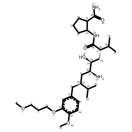 COCCCOc1cc(C[C@@H](C[C@H](N)[C@@H](O)C[C@H](C(=O)NC2CCCC2C(N)=O)C(C)C)C(C)C)ccc1OC